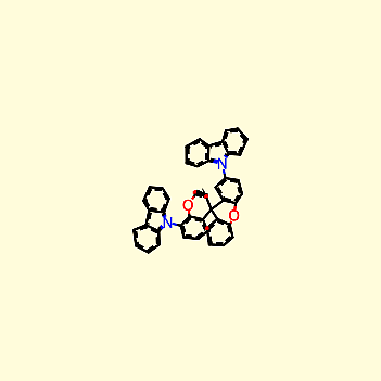 c1ccc2c(c1)Oc1ccc(-n3c4ccccc4c4ccccc43)cc1C21c2ccccc2Oc2c(-n3c4ccccc4c4ccccc43)cccc21